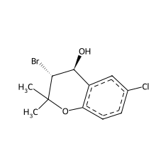 CC1(C)Oc2ccc(Cl)cc2[C@H](O)[C@H]1Br